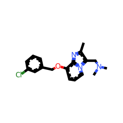 Cc1nc2c(OCc3cccc(Cl)c3)cccn2c1CN(C)C